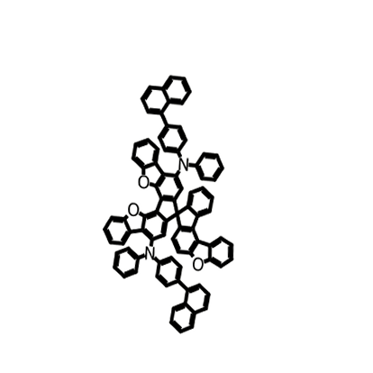 c1ccc(N(c2ccc(-c3cccc4ccccc34)cc2)c2cc3c(c4oc5ccccc5c24)-c2c(cc(N(c4ccccc4)c4ccc(-c5cccc6ccccc56)cc4)c4c2oc2ccccc24)C32c3ccccc3-c3c2ccc2oc4ccccc4c32)cc1